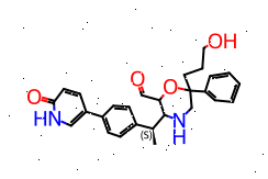 C[C@@H](c1ccc(-c2ccc(=O)[nH]c2)cc1)C1NCC(CCCO)(c2ccccc2)OC1C=O